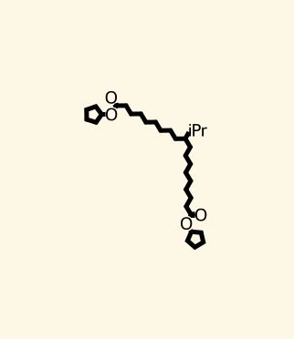 CC(C)C(CCCCCCCCC(=O)OC1CCCC1)CCCCCCCCC(=O)OC1CCCC1